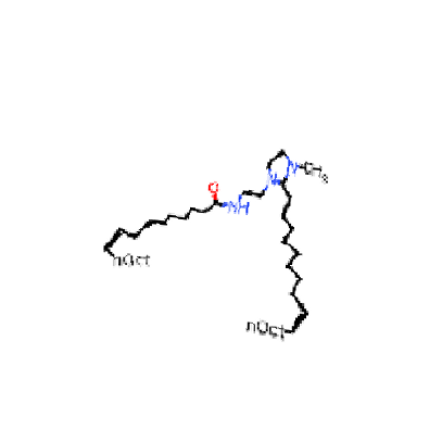 CCCCCCCC/C=C\CCCCCCCCC1N(C)CCN1CCNC(=O)CCCCCCC/C=C\CCCCCCCC